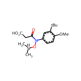 COc1ccc(N(O[SiH](C)C)C(=O)CC(=O)O)cc1C(C)(C)C